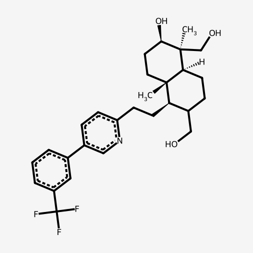 C[C@]1(CO)[C@H]2CCC(CO)[C@@H](CCc3ccc(-c4cccc(C(F)(F)F)c4)cn3)[C@]2(C)CC[C@H]1O